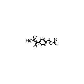 CC(=O)OCc1ccc(C(=O)C(=O)O)cc1